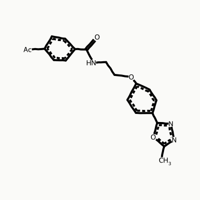 CC(=O)c1ccc(C(=O)NCCOc2ccc(-c3nnc(C)o3)cc2)cc1